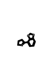 c1cc2c(c(C3=NCCC3)c1)OCO2